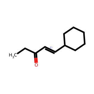 CCC(=O)/C=C/C1CCCCC1